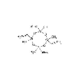 C=C[Si]1(C)O[Si](C)(CCCCCC)O[Si](C)(C=C)O[Si](C)(CCCCCC)O1